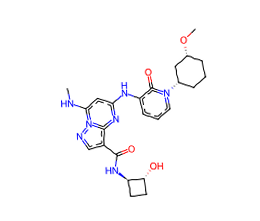 CNc1cc(Nc2cccn([C@H]3CCC[C@@H](OC)C3)c2=O)nc2c(C(=O)N[C@@H]3CC[C@H]3O)cnn12